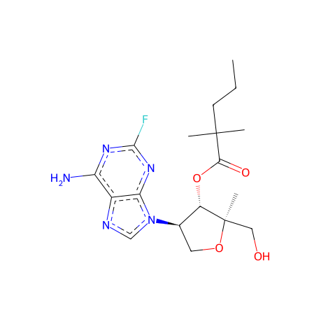 CCCC(C)(C)C(=O)O[C@H]1[C@H](n2cnc3c(N)nc(F)nc32)CO[C@]1(C)CO